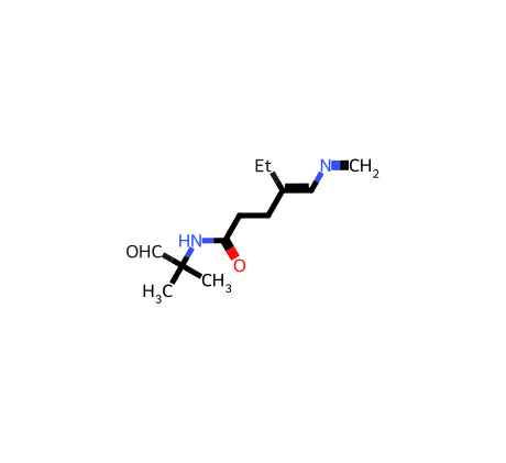 C=N/C=C(\CC)CCC(=O)NC(C)(C)C=O